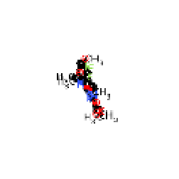 COc1ccc(CO[C@H]2CC(C)(C)Cc3nc(C4CCN(c5ncc(OCC6COC(C)(C)OC6)cn5)CC4)c([C@@H](F)c4ccc(C)cc4)c(C4CCC(F)(F)CC4)c32)cc1